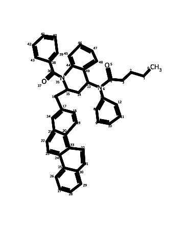 CCCCC(=O)N(c1ccccc1)C1CC(Cc2ccc3c(ccc4c5ccccc5ccc34)c2)N(C(=O)c2ccccc2)c2ccccc21